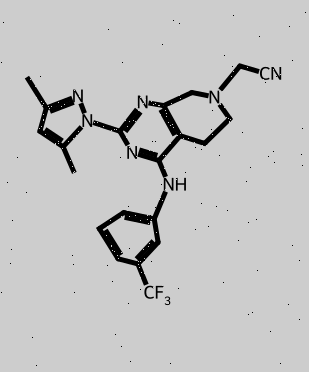 Cc1cc(C)n(-c2nc3c(c(Nc4cccc(C(F)(F)F)c4)n2)CCN(CC#N)C3)n1